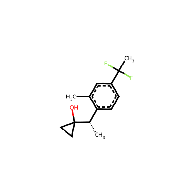 Cc1cc(C(C)(F)F)ccc1[C@H](C)C1(O)CC1